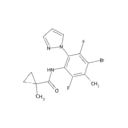 Cc1c(F)c(NC(=O)C2(C)CC2)c(-n2cccn2)c(F)c1Br